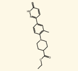 C=C1C=CC(c2ccc(N3CCC(C(=O)OCC)CC3)c(C)c2)=NN1